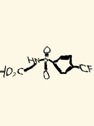 O=C(O)CNS(=O)(=O)c1ccc(C(F)(F)F)cc1